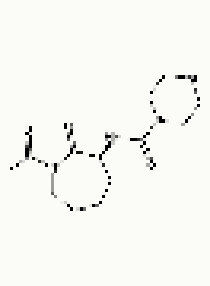 CC(=O)N1CCCC[C@H](NC(=O)N2CCNCC2)C1=O